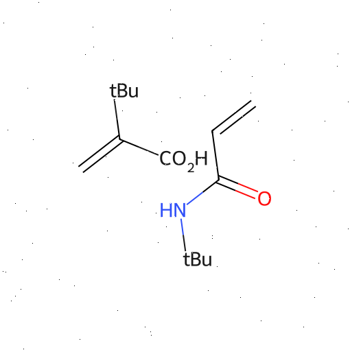 C=C(C(=O)O)C(C)(C)C.C=CC(=O)NC(C)(C)C